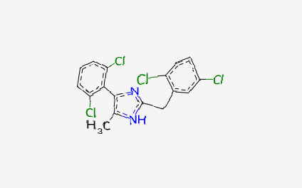 Cc1[nH]c(Cc2cc(Cl)ccc2Cl)nc1-c1c(Cl)cccc1Cl